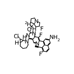 [2H]C([2H])(Oc1nc(N2CCCC[C@H]3[C@@H](Cl)[C@H]32)c2cnc(-c3cc(N)cc4ccc(F)c(C#C)c34)c(F)c2n1)[C@@]12CCCN1C[C@H](F)C2